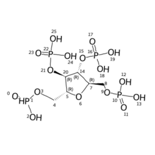 O=[PH](O)OC[C@H]1O[C@H](COP(=O)(O)O)[C@@H](OP(=O)(O)O)[C@@H]1OP(=O)(O)O